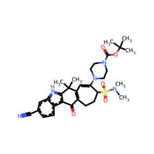 CN(C)S(=O)(=O)C1CCC2=C(C=C1N1CCN(C(=O)OC(C)(C)C)CC1)C(C)(C)c1[nH]c3cc(C#N)ccc3c1C2=O